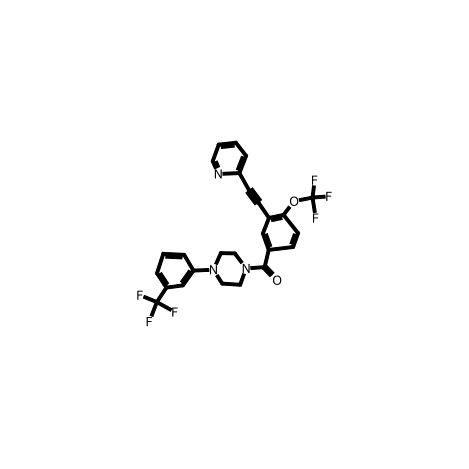 O=C(c1ccc(OC(F)(F)F)c(C#Cc2ccccn2)c1)N1CCN(c2cccc(C(F)(F)F)c2)CC1